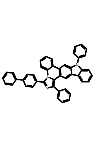 c1ccc(-c2ccc(-c3nc(-c4ccccc4)c4c5cc6c7ccccc7n(-c7ccccc7)c6cc5c5ccccc5n34)cc2)cc1